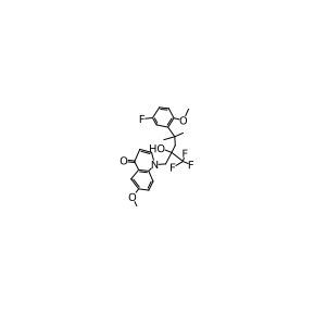 COc1ccc2c(c1)c(=O)ccn2CC(O)(CC(C)(C)c1cc(F)ccc1OC)C(F)(F)F